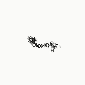 [2H]C([2H])([2H])C([2H])([2H])OC(=O)N1CCC2(CC(N3CCC(C(=O)NC4(C)CCC4)CC3)C2)C1